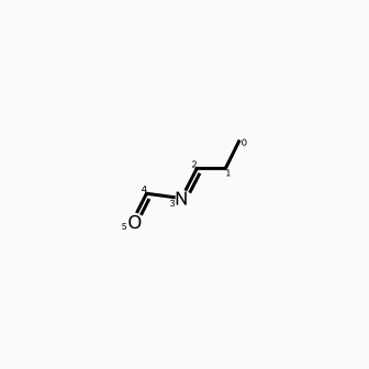 CCC=NC=O